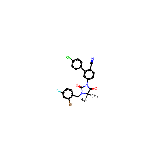 CC1(C)C(=O)N(c2ccc(C#N)c(-c3ccc(Cl)cc3)c2)C(=O)N1Cc1ccc(F)cc1Br